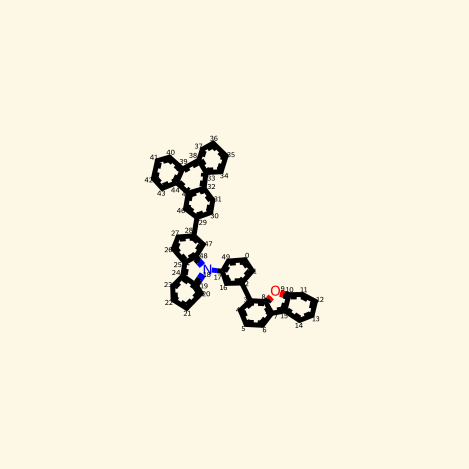 c1cc(-c2cccc3c2oc2ccccc23)cc(-n2c3ccccc3c3ccc(-c4ccc5c6ccccc6c6ccccc6c5c4)cc32)c1